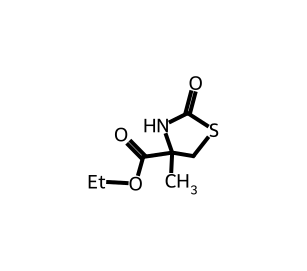 CCOC(=O)C1(C)CSC(=O)N1